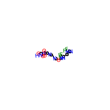 O=C1CCC(N2C(=O)c3ccc(N4CCC(CCN5CCC(OC6CN(c7ncc(-c8ccc9c%10cnccc%10n(C(F)F)c9c8)cc7C(F)(F)F)C6)CC5)CC4)cc3C2=O)C(=O)N1